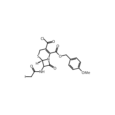 COc1ccc(COC(=O)C2=C(C(=O)Cl)CS[C@H]3C(NC(=O)CI)C(=O)N23)cc1